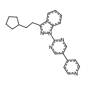 c1ccc2c(c1)c(CCC1CCCC1)nn2-c1ncc(-c2ccncc2)cn1